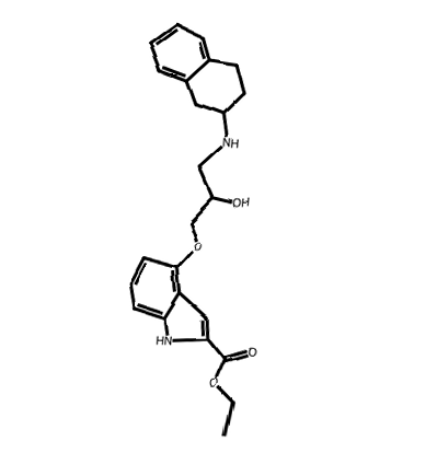 CCOC(=O)c1cc2c(OCC(O)CNC3CCc4ccccc4C3)cccc2[nH]1